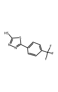 FC(F)(F)c1ccc(-c2nnc(S)s2)cc1